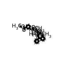 CCOC(=O)c1cccc(NC(=O)N[C@@H](C)C(=O)N[C@H]2N=C(c3ccccc3)c3ccccc3N(C)C2=O)c1